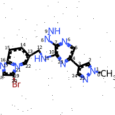 Cn1cc(-c2cnc(N=N)c(NCc3ccc4ncc(Br)n4c3)n2)cn1